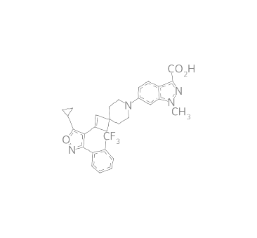 Cn1nc(C(=O)O)c2ccc(N3CCC4(C=C(c5c(-c6ccccc6C(F)(F)F)noc5C5CC5)C4)CC3)cc21